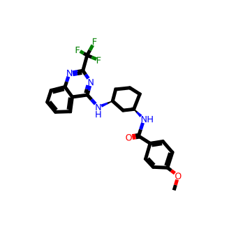 COc1ccc(C(=O)N[C@@H]2CCC[C@H](Nc3nc(C(F)(F)F)nc4ccccc34)C2)cc1